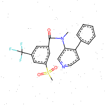 CN(C(=O)c1cc(C(F)(F)F)cc(S(C)(=O)=O)c1)c1cnccc1-c1ccccc1